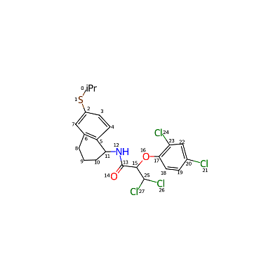 CC(C)Sc1ccc2c(c1)CCCC2NC(=O)C(Oc1ccc(Cl)cc1Cl)C(Cl)Cl